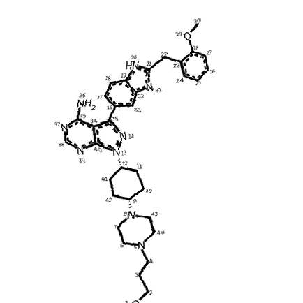 COCCCN1CCN([C@H]2CC[C@@H](n3nc(-c4ccc5[nH]c(Cc6ccccc6OC)nc5c4)c4c(N)ncnc43)CC2)CC1